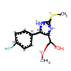 COC(O)c1nc(SC)[nH]c1-c1ccc(F)cc1